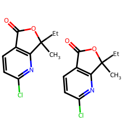 CCC1(C)OC(=O)c2ccc(Cl)nc21.CCC1(C)OC(=O)c2ccc(Cl)nc21